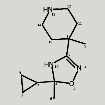 CC1(C2=NOC(C)(C3CC3)N2)CCNCC1